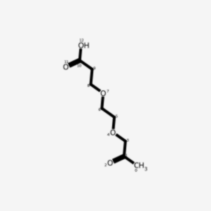 CC(=O)COCCOCCC(=O)O